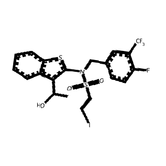 CC(O)c1c(N(Cc2ccc(F)c(C(F)(F)F)c2)S(=O)(=O)CCI)sc2ccccc12